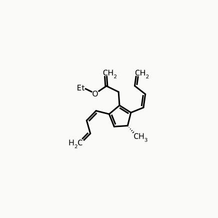 C=C/C=C\C1=C[C@@H](C)C(/C=C\C=C)=C1CC(=C)OCC